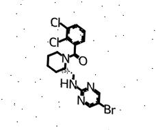 O=C(c1cccc(Cl)c1Cl)N1CCCC[C@H]1CNc1ncc(Br)cn1